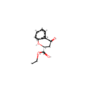 CCOC(=O)[C@H]1CC(=O)c2ccccc2O1